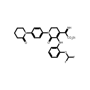 CCOC(=O)C(=N)C1=C(Nc2ccccc2OC(F)F)C(=O)N(c2ccc(N3CCCCC3=O)cc2)CC1